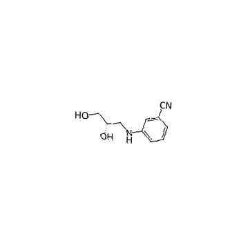 N#Cc1cccc(NC[C@H](O)CO)c1